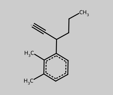 [C]#CC(CCC)c1cccc(C)c1C